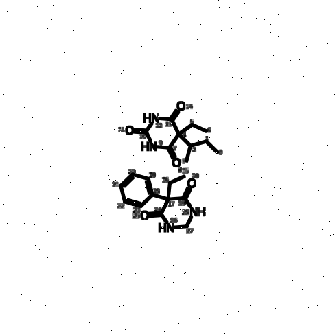 CCC(C)C1(CC)C(=O)NC(=O)NC1=O.CCC1(c2ccccc2)C(=O)NCNC1=O